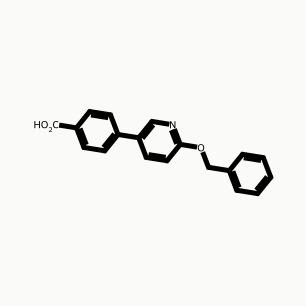 O=C(O)c1ccc(-c2ccc(OCc3ccccc3)nc2)cc1